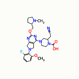 COc1cccc(F)c1N1Cc2nc(OCC3CCCN3C)nc(N3CCN(C(=O)O)C(CC#N)C3)c2C1